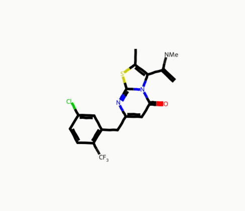 C=C(NC)c1c(C)sc2nc(Cc3cc(Cl)ccc3C(F)(F)F)cc(=O)n12